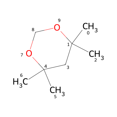 CC1(C)CC(C)(C)OCO1